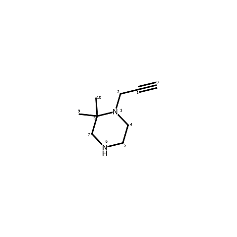 C#CCN1CCNCC1(C)C